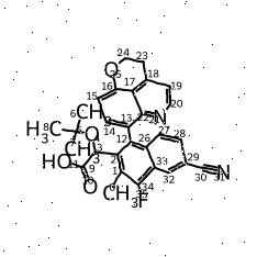 Cc1c(C(OC(C)(C)C)C(=O)O)c(-c2ccc3c4c(ccnc24)CCO3)c2ccc(C#N)cc2c1F